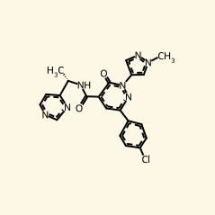 C[C@H](NC(=O)c1cc(-c2ccc(Cl)cc2)nn(-c2cnn(C)c2)c1=O)c1ccncn1